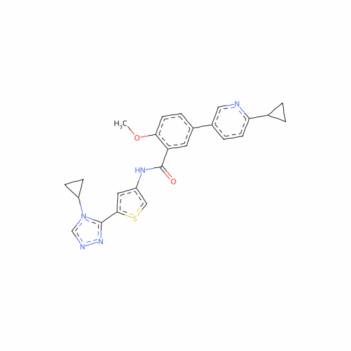 COc1ccc(-c2ccc(C3CC3)nc2)cc1C(=O)Nc1csc(-c2nncn2C2CC2)c1